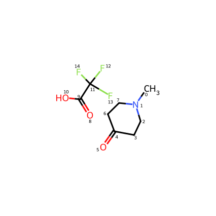 CN1CCC(=O)CC1.O=C(O)C(F)(F)F